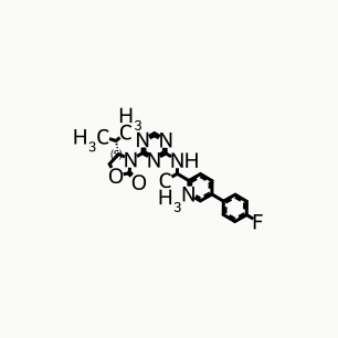 CC(Nc1ncnc(N2C(=O)OC[C@@H]2C(C)C)n1)c1ccc(-c2ccc(F)cc2)cn1